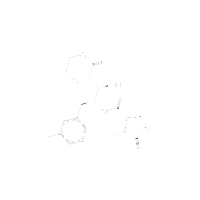 CCC1C(=O)NCC1C(=O)N[C@@H](Cc1cc(F)cc(F)c1)[C@H](O)[C@@H]1NCCNC1=O